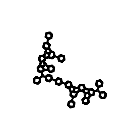 c1ccc(-c2ccc3c(c2)c2cc(-c4ccccc4)cc4c5c(ccc6c7ccc(N(c8ccccc8)c8ccc(-c9ccc(-c%10ccc%11c(c%10)c%10cc(-c%12ccccc%12)cc%12c%13c(ccc%14c%15cc(N(c%16ccccc%16)c%16ccccc%16)cc%16c%17ccccc%17n(c%16%15)c%14%13)n%11c%10%12)cc9)cc8)c8c9ccccc9n(c78)c65)n3c24)cc1